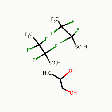 CC(O)CO.O=S(=O)(O)C(F)(F)C(F)(F)C(F)(F)F.O=S(=O)(O)C(F)(F)C(F)(F)C(F)(F)F